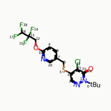 CC(C)(C)n1ncc(SCc2ccc(OCC(F)(F)C(F)F)nc2)c(Cl)c1=O